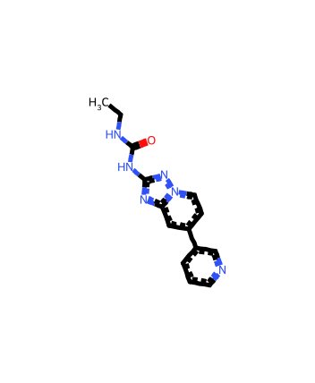 CCNC(=O)Nc1nc2cc(-c3cccnc3)ccn2n1